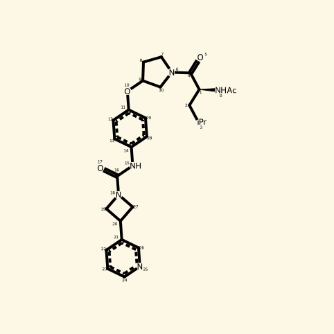 CC(=O)N[C@@H](CC(C)C)C(=O)N1CCC(Oc2ccc(NC(=O)N3CC(c4cccnc4)C3)cc2)C1